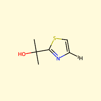 [2H]c1csc(C(C)(C)O)n1